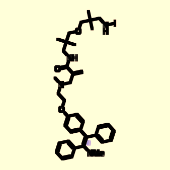 C=C(CN(C)CCOc1ccc(/C(=C(/NC)c2ccccc2)c2ccccc2)cc1)C(=O)NCC(C)(C)COCC(C)(C)CNI